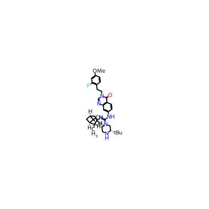 COc1ccc(CCn2cnc3cc(NC(=N[C@H]4C[C@@H]5C[C@H]([C@@H]4C)C5(C)C)N4CCN[C@@H](C(C)(C)C)C4)ccc3c2=O)c(F)c1